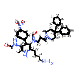 CC1=C(NC=O)C(c2ccc([N+](=O)[O-])cc2)C(N(C=O)CCCN2CCC(c3ccccc3)(c3ccccc3)CC2)=C(CCCCN)N1